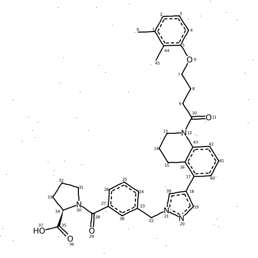 Cc1cccc(OCCCC(=O)N2CCCc3c(-c4cnn(Cc5cccc(C(=O)N6CCC[C@@H]6C(=O)O)c5)c4)cccc32)c1C